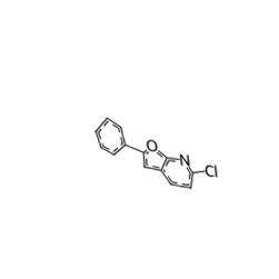 Clc1ccc2cc(-c3ccccc3)oc2n1